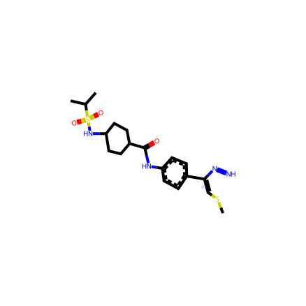 CS/C=C(\N=N)c1ccc(NC(=O)C2CCC(NS(=O)(=O)C(C)C)CC2)cc1